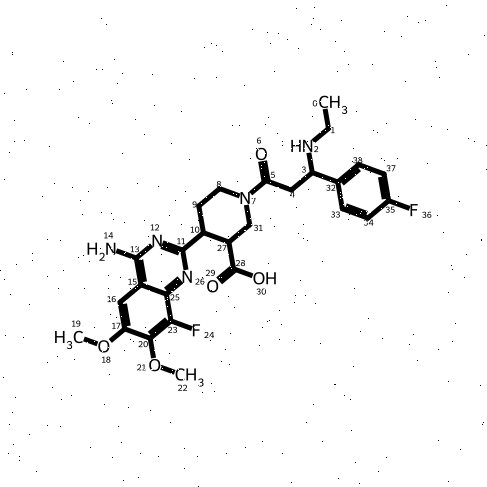 CCNC(CC(=O)N1CCC(c2nc(N)c3cc(OC)c(OC)c(F)c3n2)C(C(=O)O)C1)c1ccc(F)cc1